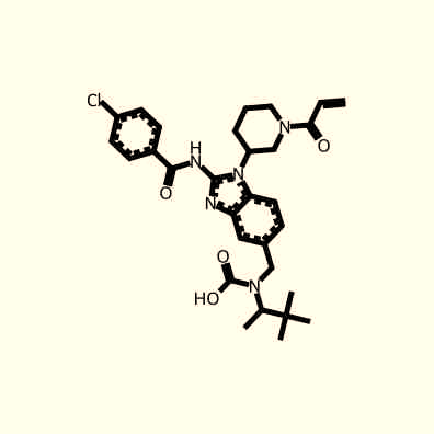 C=CC(=O)N1CCCC(n2c(NC(=O)c3ccc(Cl)cc3)nc3cc(CN(C(=O)O)C(C)C(C)(C)C)ccc32)C1